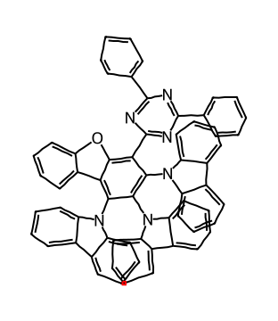 c1ccc(-c2nc(-c3ccccc3)nc(-c3c(-n4c5ccccc5c5ccccc54)c(-n4c5ccccc5c5ccccc54)c(-n4c5ccccc5c5ccccc54)c4c3oc3ccccc34)n2)cc1